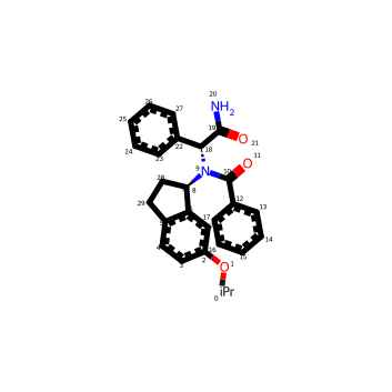 CC(C)Oc1ccc2c(c1)[C@H](N(C(=O)c1ccccc1)[C@@H](C(N)=O)c1ccccc1)CC2